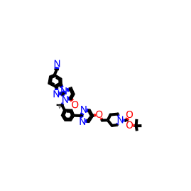 C[C@H](c1cccc(-c2ncc(OCC3CCN(C(=O)OC(C)(C)C)CC3)cn2)c1)n1c(=O)ccn2c3cc(C#N)ccc3nc12